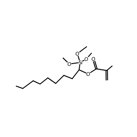 C=C(C)C(=O)OC(CCCCCCCC)[Si](OC)(OC)OC